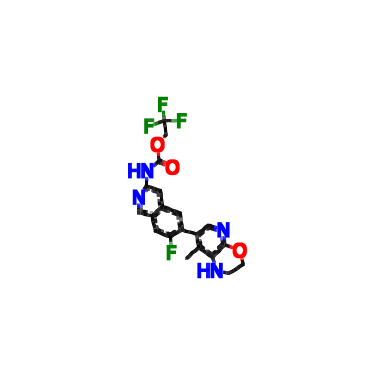 Cc1c(-c2cc3cc(NC(=O)OCC(F)(F)F)ncc3cc2F)cnc2c1NCCO2